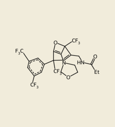 CCC(=O)NCC1=CC(c2cc(C(F)(F)F)cc(C(F)(F)F)c2)(C(F)(F)F)C2=C(N3CCOC3)C1(C(F)(F)F)O2